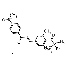 Cc1cc(/C=C/C(=O)c2ccc([S+](C)[O-])cc2)cc(C)c1C(=O)C(C)(C)Br